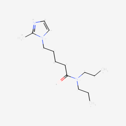 CCCN(CCC)C(=O)CCCCn1c[c]nc1C